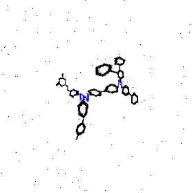 C=C1CC(C)CC(CCc2ccc(N(c3ccc(-c4ccc(C)cc4)cc3)c3ccc(-c4ccc(N(c5ccc(-c6ccccc6)cc5)c5ccc(-c6ccccc6)c(-c6ccccc6)c5)cc4)cc3)cc2)C1